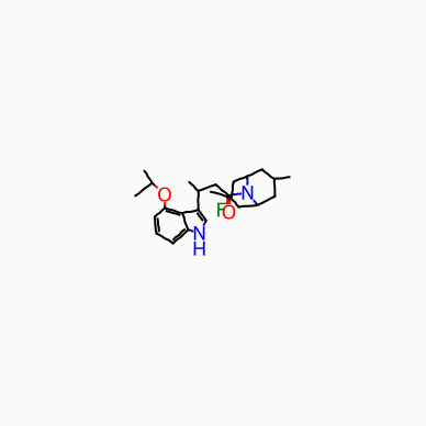 CC1CC2CC(C)(F)CC(C1)N2C(=O)CC(C)c1c[nH]c2cccc(OC(C)C)c12